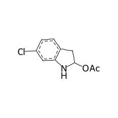 CC(=O)OC1Cc2ccc(Cl)cc2N1